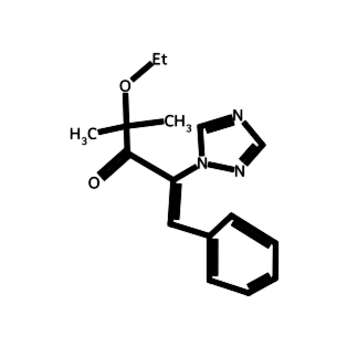 CCOC(C)(C)C(=O)C(=Cc1ccccc1)n1cncn1